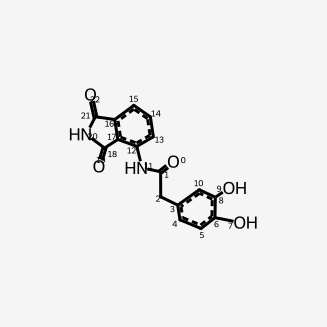 O=C(Cc1ccc(O)c(O)c1)Nc1cccc2c1C(=O)NC2=O